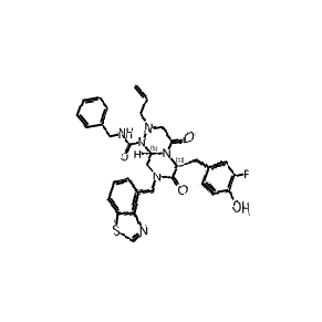 C=CCN1CC(=O)N2[C@@H](Cc3ccc(O)c(F)c3)C(=O)N(Cc3cccc4scnc34)C[C@@H]2N1C(=O)NCc1ccccc1